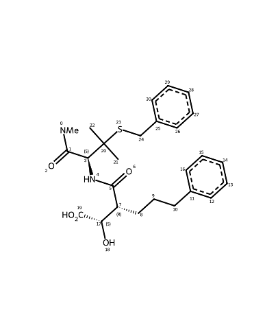 CNC(=O)[C@H](NC(=O)[C@H](CCCc1ccccc1)[C@H](O)C(=O)O)C(C)(C)SCc1ccccc1